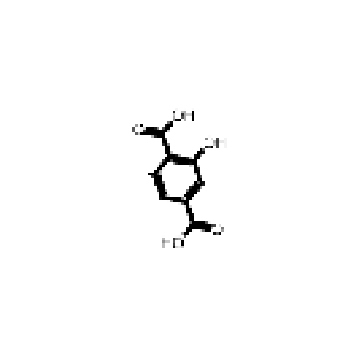 O=C(O)c1c[c]c(C(=O)O)c(O)c1